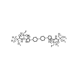 CC(C)(C)C(=O)N[C@H](c1ccc(-c2ccc(-c3ccc(-c4cnc([C@@H](NC(=O)C(C)(C)C)C(C)(C)CF)[nH]4)cc3)cc2)[nH]1)C(C)(C)CF